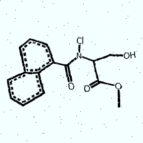 COC(=O)C(CO)N(Cl)C(=O)c1cccc2ccccc12